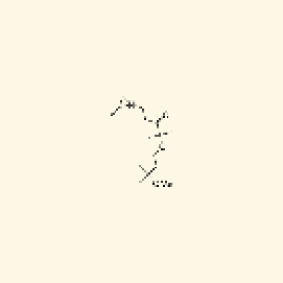 COC(C)(C)CCOC(C)(C)C(=O)CCN1C[C@@H]1C